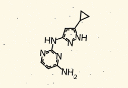 Nc1ccnc(Nc2cc(C3CC3)[nH]n2)n1